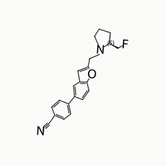 N#Cc1ccc(-c2ccc3oc(CCN4CCC[C@H]4CF)cc3c2)cc1